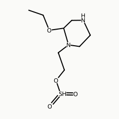 CCOC1CNCCN1CCO[SH](=O)=O